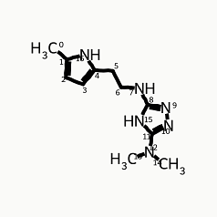 Cc1ccc(CCNc2nnc(N(C)C)[nH]2)[nH]1